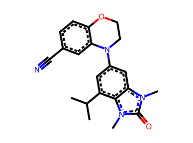 CC(C)c1cc(N2CCOc3ccc(C#N)cc32)cc2c1n(C)c(=O)n2C